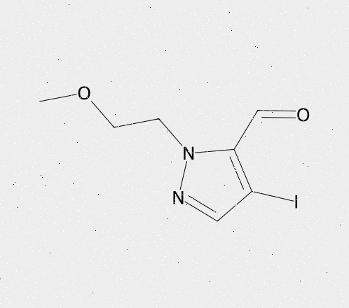 COCCn1ncc(I)c1C=O